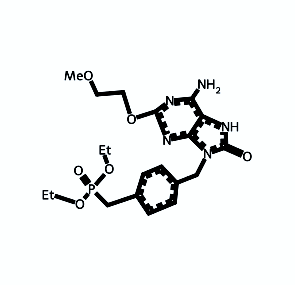 CCOP(=O)(Cc1ccc(Cn2c(=O)[nH]c3c(N)nc(OCCOC)nc32)cc1)OCC